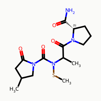 CSN(C(=O)N1CC(C)CC1=O)C(C)C(=O)N1CCC[C@H]1C(N)=O